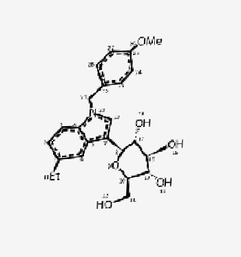 CCc1ccc2c(c1)c([C@@H]1O[C@H](CO)[C@@H](O)[C@H](O)[C@H]1O)cn2Cc1ccc(OC)cc1